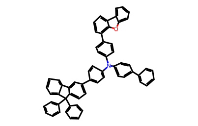 c1ccc(-c2ccc(N(c3ccc(-c4ccc5c(c4)-c4ccccc4C5(c4ccccc4)c4ccccc4)cc3)c3ccc(-c4cccc5c4oc4ccccc45)cc3)cc2)cc1